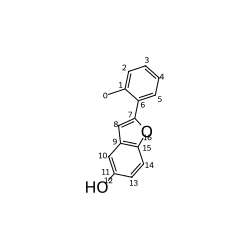 Cc1ccccc1-c1cc2cc(O)ccc2o1